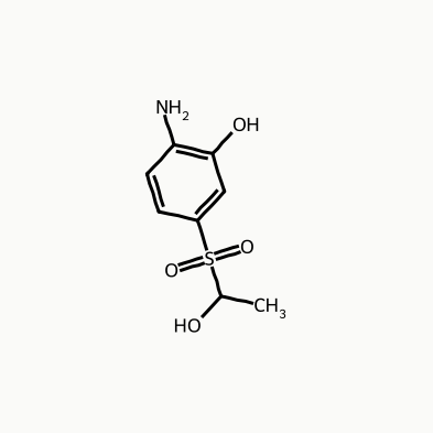 CC(O)S(=O)(=O)c1ccc(N)c(O)c1